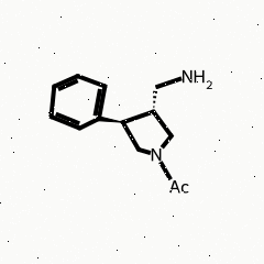 CC(=O)N1C[C@@H](CN)[C@H](c2ccccc2)C1